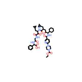 CCOC(=O)N1CCN(c2ccc(C(=O)NC(C(=O)CC(CC3CC3)C(=O)NC(CC3CC3)C(=O)C(=O)NCC(=O)NC(C(=O)O)c3ccccc3)C3CCCCC3)cn2)CC1